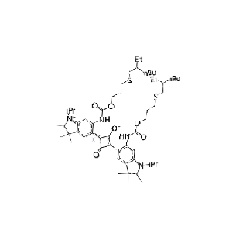 CCCCC(CC)CSCCCOC(=O)Nc1cc2c(cc1C1=C([O-])/C(=c3/cc4c(cc3NC(=O)OCCCSCC(CC)CCCC)=[N+](C(C)C)C(C)C4(C)C)C1=O)C(C)(C)C(C)N2C(C)C